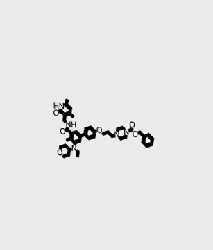 CCN(c1cc(-c2ccc(OCCCN3CCN(C(=O)OCc4ccccc4)CC3)cc2)cc(C(=O)NCc2c(C)cc(C)[nH]c2=O)c1C)C1CCOCC1